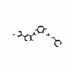 Cn1cc(-c2cnc(N)c(-c3nc4ccc(F)c(OC(=O)NCc5ccncc5)c4[nH]3)c2)cn1